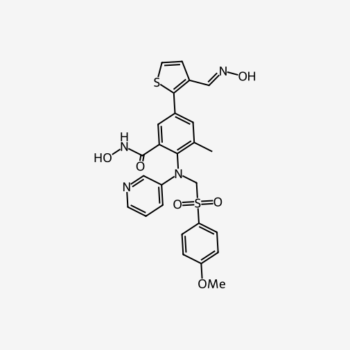 COc1ccc(S(=O)(=O)CN(c2cccnc2)c2c(C)cc(-c3sccc3C=NO)cc2C(=O)NO)cc1